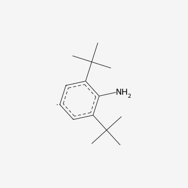 CC(C)(C)c1c[c]cc(C(C)(C)C)c1N